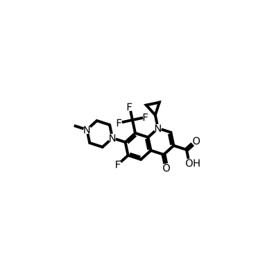 CN1CCN(c2c(F)cc3c(=O)c(C(=O)O)cn(C4CC4)c3c2C(F)(F)F)CC1